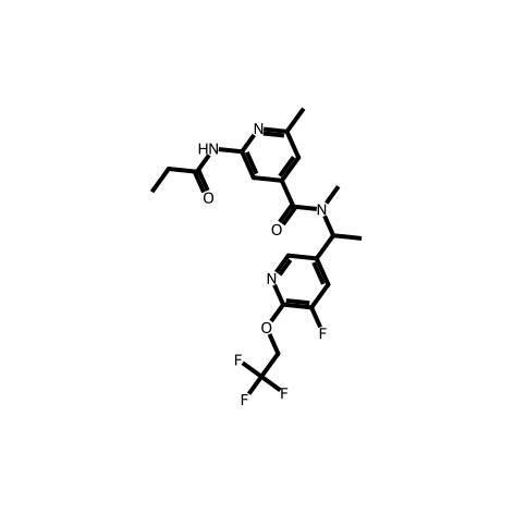 CCC(=O)Nc1cc(C(=O)N(C)C(C)c2cnc(OCC(F)(F)F)c(F)c2)cc(C)n1